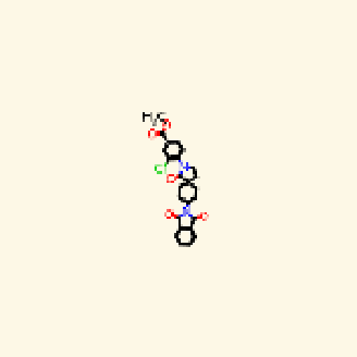 COC(=O)c1ccc(N2CCC3(CCC(N4C(=O)c5ccccc5C4=O)CC3)C2=O)c(Cl)c1